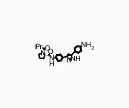 CC(C)C(=O)N1CCC[C@H]1C(=O)Nc1ccc(-c2cc(-c3ccc(N)cc3)[nH]n2)cc1